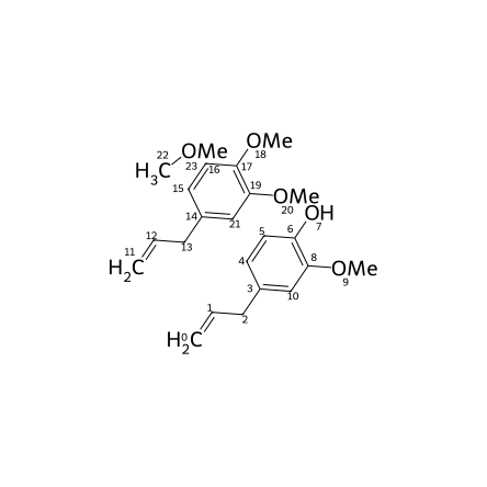 C=CCc1ccc(O)c(OC)c1.C=CCc1ccc(OC)c(OC)c1.COC